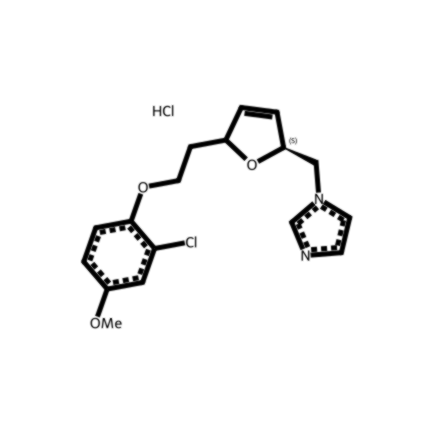 COc1ccc(OCCC2C=C[C@@H](Cn3ccnc3)O2)c(Cl)c1.Cl